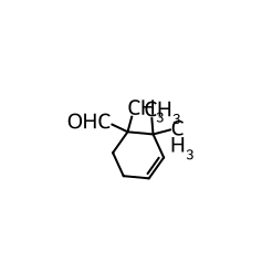 CC1(C)C=CCCC1(C)C=O